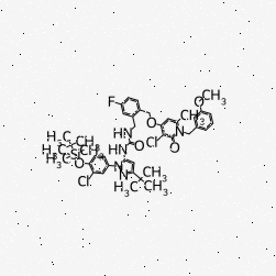 COc1cccc(Cn2c(C)cc(OCc3ccc(F)cc3CNC(=O)Nc3cc(C(C)(C)C)nn3-c3ccc(O[Si](C)(C)C(C)(C)C)c(Cl)c3)c(Cl)c2=O)c1